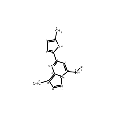 Cc1ccc(-c2cc(NC(C)C)n3ncc(C=O)c3n2)s1